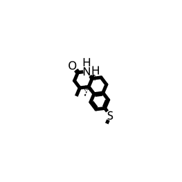 CSc1ccc2c(c1)CC[C@H]1NC(=O)CC(C)[C@]21C